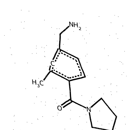 Cc1cc(CN)ccc1C(=O)N1CCCC1